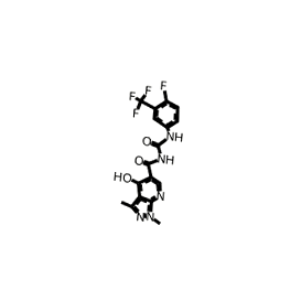 Cc1nn(C)c2ncc(C(=O)NC(=O)Nc3ccc(F)c(C(F)(F)F)c3)c(O)c12